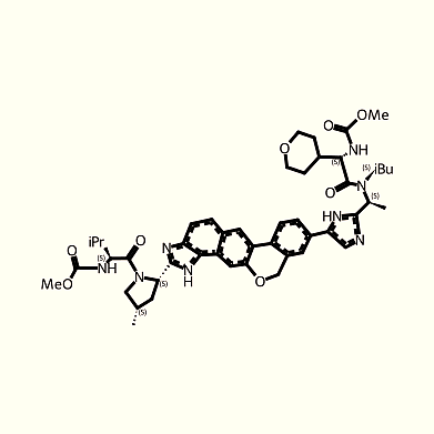 CC[C@H](C)N(C(=O)[C@@H](NC(=O)OC)C1CCOCC1)[C@@H](C)c1ncc(-c2ccc3c(c2)COc2cc4c(ccc5nc([C@@H]6C[C@H](C)CN6C(=O)[C@@H](NC(=O)OC)C(C)C)[nH]c54)cc2-3)[nH]1